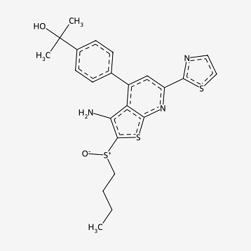 CCCC[S+]([O-])c1sc2nc(-c3nccs3)cc(-c3ccc(C(C)(C)O)cc3)c2c1N